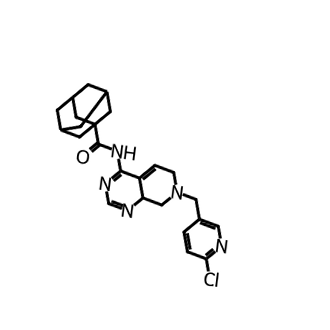 O=C(NC1=NC=NC2CN(Cc3ccc(Cl)nc3)CC=C12)C12CC3CC(CC(C3)C1)C2